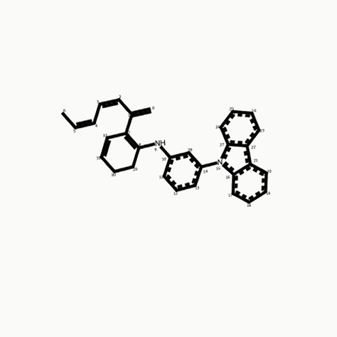 C=C(/C=C\C=C/C)C1=C(Nc2cccc(-n3c4ccccc4c4ccccc43)c2)CCC=C1